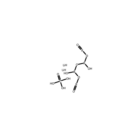 O=BOB(O)OB(O)OB=O.O=P(O)(O)O.[LiH].[LiH]